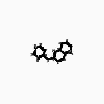 c1cnc2ccc(Cc3ccncn3)cc2c1